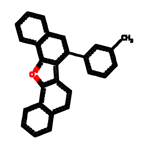 Cc1cccc(-c2cc3ccccc3c3oc4c5ccccc5ccc4c23)c1